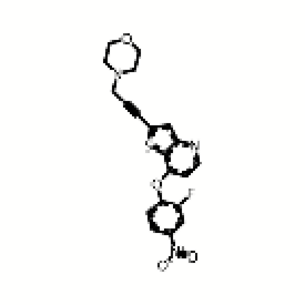 O=[N+]([O-])c1ccc(Oc2ccnc3cc(C#CCN4CCOCC4)sc23)c(F)c1